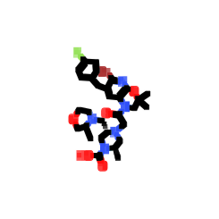 CC1COCCN1C[C@H]1CN(C(=O)O)[C@H](C)CN1CC(=O)N1CC(C)(C)Oc2nc(Br)c(Cc3ccc(F)cc3)cc21